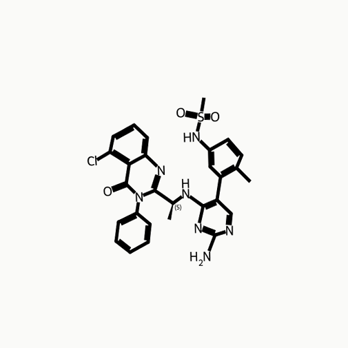 Cc1ccc(NS(C)(=O)=O)cc1-c1cnc(N)nc1N[C@@H](C)c1nc2cccc(Cl)c2c(=O)n1-c1ccccc1